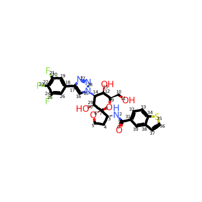 O=C(N[C@@H]1CCO[C@]12O[C@H](CO)[C@H](O)[C@H](n1cc(-c3cc(F)c(F)c(F)c3)nn1)[C@H]2O)c1ccc2sccc2c1